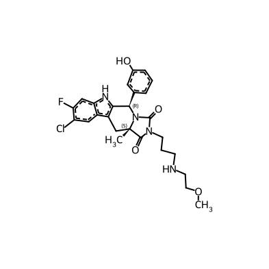 COCCNCCCN1C(=O)N2[C@H](c3cccc(O)c3)c3[nH]c4cc(F)c(Cl)cc4c3C[C@@]2(C)C1=O